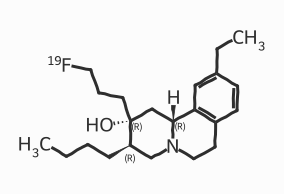 CCCC[C@@H]1CN2CCc3ccc(CC)cc3[C@H]2C[C@]1(O)CCC[19F]